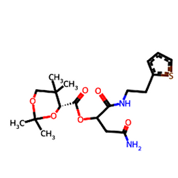 CC1(C)OCC(C)(C)[C@H](C(=O)OC(CC(N)=O)C(=O)NCCc2cccs2)O1